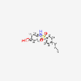 CCCc1ccc(S(=O)(=O)Nc2ccc(O)cc2)cc1